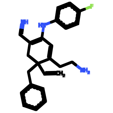 C=CC1(Cc2ccccc2)CC(C=N)=C(Nc2ccc(F)cc2)C=C1CCN